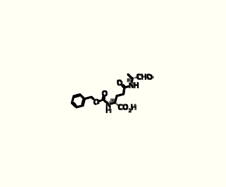 C[C@H]([C]=O)NC(=O)CC[C@@H](NC(=O)OCc1ccccc1)C(=O)O